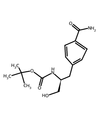 CC(C)(C)OC(=O)N[C@H](CO)Cc1ccc(C(N)=O)cc1